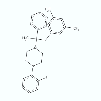 [CH2]C(Cc1cc(C(F)(F)F)cc(C(F)(F)F)c1)(c1ccccc1)N1CCN(c2ccccc2F)CC1